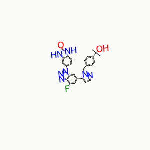 CC(C)(O)c1ccc(Cn2nccc2-c2cc(F)c3nnn(-c4ccc5[nH]c(=O)[nH]c5c4)c3c2)cc1